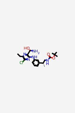 CCc1nc(C(N)O)c(Nc2cccc([C@@H](C)CNC(=O)OC(C)(C)C)c2)nc1Cl